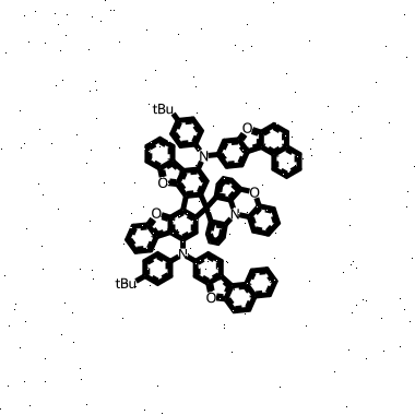 CC(C)(C)c1ccc(N(c2ccc3c(c2)oc2ccc4ccccc4c23)c2cc3c(c4oc5ccccc5c24)-c2c(cc(N(c4ccc(C(C)(C)C)cc4)c4ccc5c(c4)oc4ccc6ccccc6c45)c4c2oc2ccccc24)C32c3ccccc3N3c4ccccc4Oc4cccc2c43)cc1